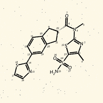 Cc1nc(N(C)C(=O)[C@H]2Cc3ccc(-c4nccs4)cc3C2)sc1S(N)(=O)=O